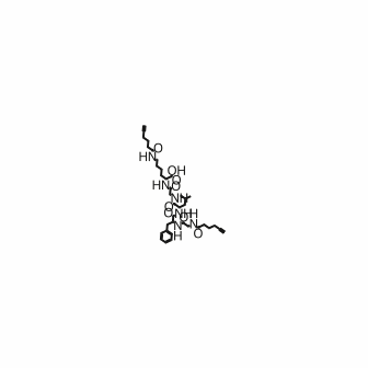 C#CCCCC(=O)NCCCCC(NC(=O)CNC(=O)C(CC(C)C)NC(=O)C(Cc1ccccc1)NC(=O)CNC(=O)CCCC#C)C(=O)O